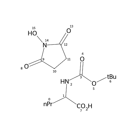 CCCC(NC(=O)OC(C)(C)C)C(=O)O.O=C1CCC(=O)N1O